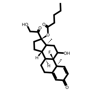 CCCCC(=O)O[C@]1(C(=O)CO)CC[C@H]2[C@@H]3CCC4=CC(=O)C=C[C@]4(C)[C@@]3(F)C(O)C[C@@]21C